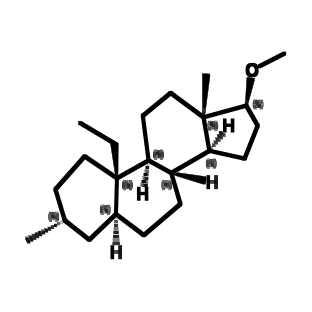 CC[C@]12CC[C@@H](C)C[C@@H]1CC[C@H]1[C@@H]3CC[C@H](OC)[C@@]3(C)CC[C@@H]12